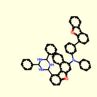 c1ccc(C2NC(c3ccccc3)NC(c3cccc4oc5cc(N(c6ccccc6)c6cccc(-c7cccc8c7oc7ccccc78)c6)c6ccccc6c5c34)N2)cc1